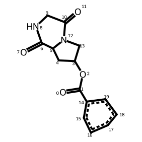 O=C(OC1CC2C(=O)NCC(=O)N2C1)c1ccccc1